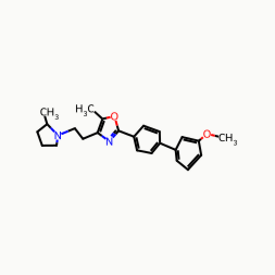 COc1cccc(-c2ccc(-c3nc(CCN4CCCC4C)c(C)o3)cc2)c1